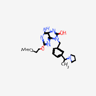 COCCOc1nc(N)c2nc(O)n(Cc3cccc(C(C)N4CCCC4)c3)c2n1